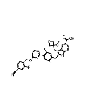 COC1(Cn2c(Cc3cc(F)c(-c4cccc(OCc5ccc(C#N)cc5F)n4)cc3F)nc3ccc(C(=O)O)cc32)COC1